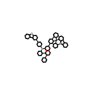 c1ccc(-c2ccccc2-c2ccccc2N(c2ccc(-c3ccc4oc5ccccc5c4c3)cc2)c2cccc(-c3ccc4c(c3)C3(c5ccccc5-4)c4ccccc4-n4c5ccccc5c5cccc3c54)c2)cc1